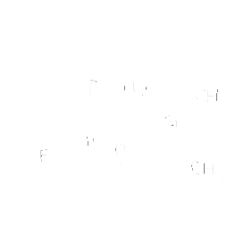 C[Si](C)(C)OP(F)F